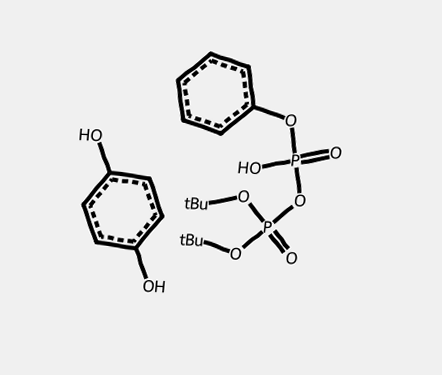 CC(C)(C)OP(=O)(OC(C)(C)C)OP(=O)(O)Oc1ccccc1.Oc1ccc(O)cc1